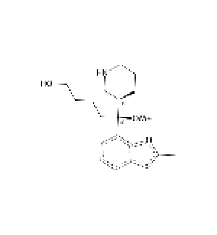 CO[C@](CCCCO)(c1cccc2cc(C)oc12)[C@@H]1CCCNC1